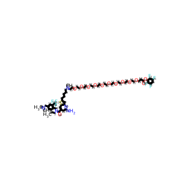 CCCN(Cc1ccc(CN(C)C)cc1C(F)(F)F)C(=O)C1=Cc2sc(CCCCCN(C)CCOCCOCCOCCOCCOCCOCCOCCOCCOCCOCCC(=O)Oc3c(F)c(F)cc(F)c3F)cc2N=C(N)C1